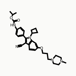 CC(C)OC(=O)Nc1ccc(-c2c(C#N)c3ccc(OCCCN4CCN(C)CC4)cc3n2C2CCC2)cc1